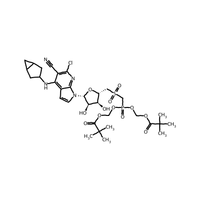 CC(C)(C)C(=O)OCOP(=O)(CS(=O)(=O)C[C@H]1O[C@@H](n2ccc3c(NC4CC5CC5C4)c(C#N)c(Cl)nc32)[C@H](O)[C@@H]1O)OCOC(=O)C(C)(C)C